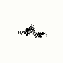 CC1(C)O[C@@H]2[C@H](O1)C(CCc1ccc3cc(F)c(N)nc3c1)=C[C@H]2n1ccc2c(N)ncnc21